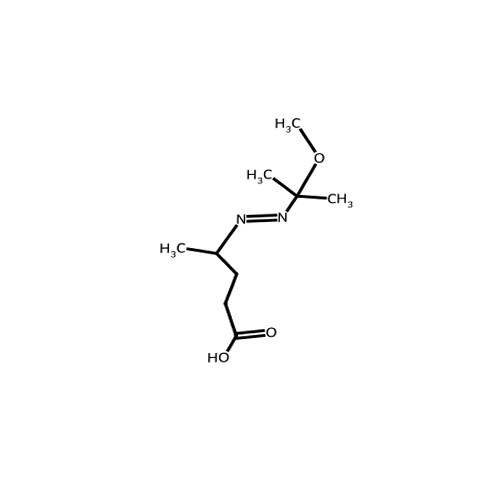 COC(C)(C)/N=N/C(C)CCC(=O)O